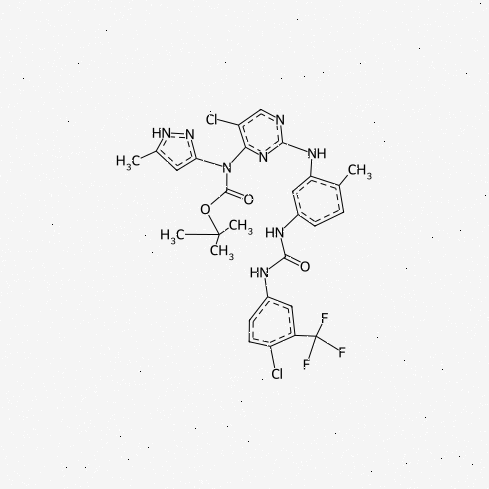 Cc1cc(N(C(=O)OC(C)(C)C)c2nc(Nc3cc(NC(=O)Nc4ccc(Cl)c(C(F)(F)F)c4)ccc3C)ncc2Cl)n[nH]1